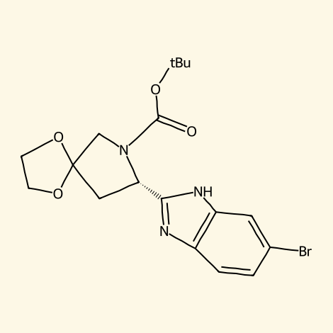 CC(C)(C)OC(=O)N1CC2(C[C@H]1c1nc3ccc(Br)cc3[nH]1)OCCO2